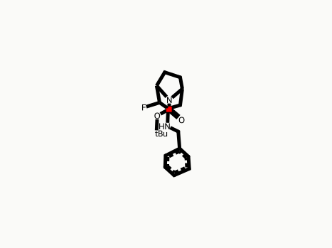 CC(C)(C)OC(=O)N1C2CCC1C(F)C(NCc1ccccc1)C2